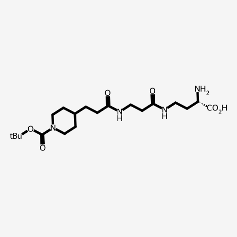 CC(C)(C)OC(=O)N1CCC(CCC(=O)NCCC(=O)NCC[C@H](N)C(=O)O)CC1